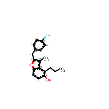 CCCc1c(O)ccc2oc(Cc3ccc(F)cc3)c(C)c12